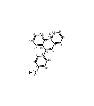 Cc1ccc(-c2cc3cccnc3c3ncccc23)cc1